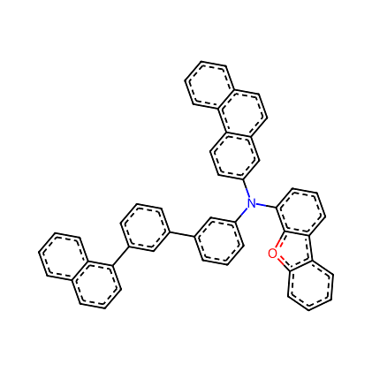 c1cc(-c2cccc(N(c3ccc4c(ccc5ccccc54)c3)c3cccc4c3oc3ccccc34)c2)cc(-c2cccc3ccccc23)c1